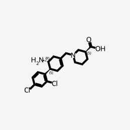 N[C@@H]1CC(CN2CCC[C@H](C(=O)O)C2)=CC[C@H]1c1ccc(Cl)cc1Cl